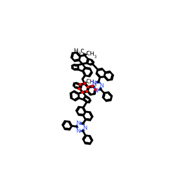 CC1(C)c2ccccc2C2(c3ccccc3-c3c(CC4(C)c5ccccc5C5(c6ccccc6-c6c(-c7cccc8c(-c9nc(-c%10ccccc%10)nc(-c%10ccccc%10)n9)cccc78)cccc65)c5ccccc54)cccc32)c2cc(-c3cc(-c4nc(-c5ccccc5)nc(-c5ccccc5)n4)c4ccccc4c3)ccc21